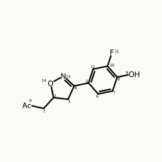 CC(=O)CC1CC(c2ccc(O)c(F)c2)=NO1